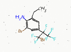 CCc1cc(C(F)(C(F)(F)F)C(F)(F)Br)cc(Br)c1N